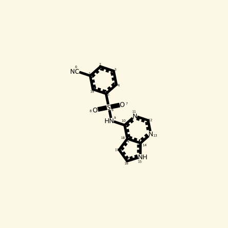 N#Cc1cccc(S(=O)(=O)Nc2ncnc3[nH]ccc23)c1